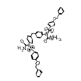 NC(=O)N(c1ccc(Cc2ccc(N(C(N)=O)S(=O)(=O)c3ccc(OCc4ccccc4)cc3)cc2)cc1)S(=O)(=O)c1ccc(OCc2ccccc2)cc1